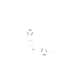 N#Cc1ccc(OCC(=O)N2CCN(Cc3ccc(Cl)cc3)CC2)cc1